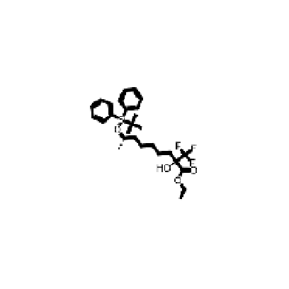 CCOC(=O)[C@](O)(CCCCC[C@H](C)O[Si](c1ccccc1)(c1ccccc1)C(C)(C)C)C(F)(F)F